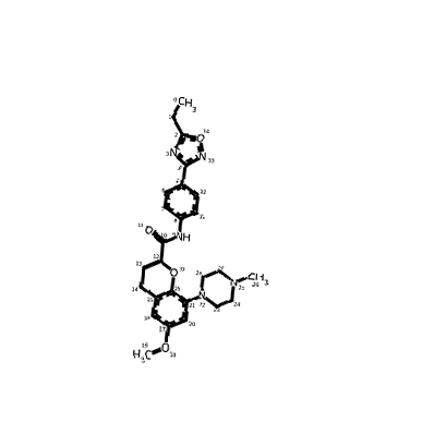 CCc1nc(-c2ccc(NC(=O)C3CCc4cc(OC)cc(N5CCN(C)CC5)c4O3)cc2)no1